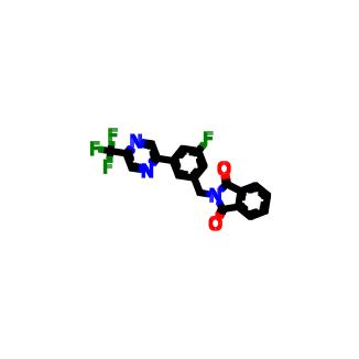 O=C1c2ccccc2C(=O)N1Cc1cc(F)cc(-c2cnc(C(F)(F)F)cn2)c1